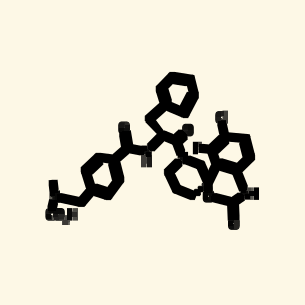 CN(Cc1ccc(C(=O)N[C@@H](Cc2ccccc2)C(=O)N2CCC[C@@]3(C2)OC(=O)Nc2ccc(Cl)c(F)c23)cc1)C(=O)O